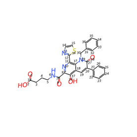 O=C(O)CCCNC(=O)c1nc(-c2nccs2)c2c(cc(-c3ccccc3)c(=O)n2Cc2ccccc2)c1O